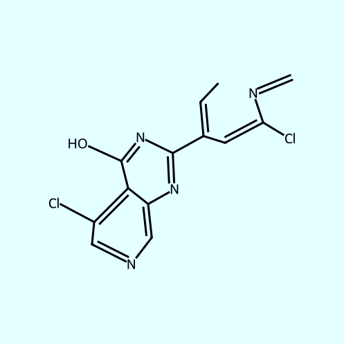 C=N/C(Cl)=C\C(=C/C)c1nc(O)c2c(Cl)cncc2n1